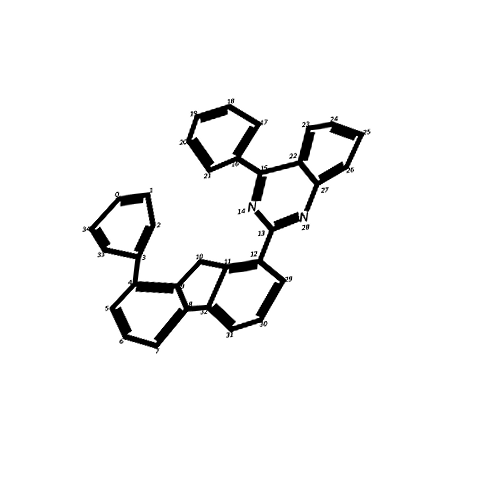 c1ccc(-c2cccc3c2Cc2c(-c4nc(-c5ccccc5)c5ccccc5n4)cccc2-3)cc1